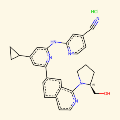 Cl.N#Cc1ccnc(Nc2cc(C3CC3)cc(-c3ccc4ccnc(N5CCC[C@H]5CO)c4c3)n2)c1